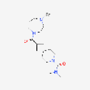 CC(C)N1CCCN(C(=O)C2CC3(CCN(C(=O)N(C)C)CC3)C2)CC1